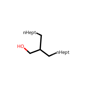 CCCCCCCCC(CO)CCCCCCCC